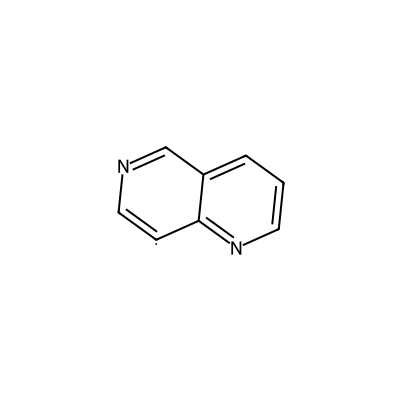 [c]1cncc2cccnc12